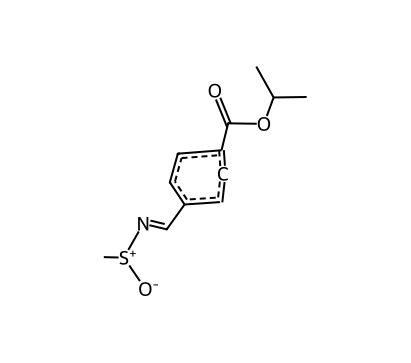 CC(C)OC(=O)c1ccc(/C=N/[S+](C)[O-])cc1